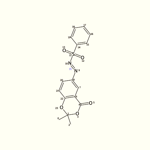 CC1(C)OC(=O)c2cc(/N=N/S(=O)(=O)c3ccccc3)ccc2O1